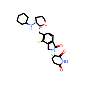 O=C1CC[C@H](N2Cc3c(ccc(C[C@H]4OCCC[C@@H]4NC4CCCCC4)c3F)C2=O)C(=O)N1